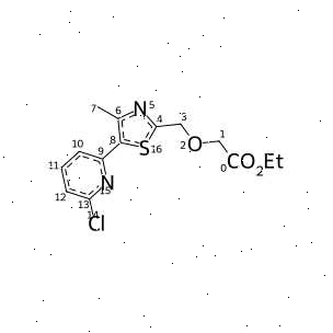 CCOC(=O)COCc1nc(C)c(-c2cccc(Cl)n2)s1